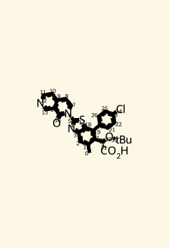 Cc1cc2nc(-n3ccc4ccncc4c3=O)sc2c(-c2ccc(Cl)cc2)c1[C@H](OC(C)(C)C)C(=O)O